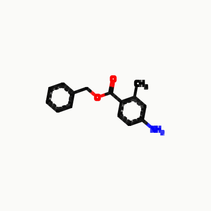 Cc1cc(N)ccc1C(=O)OCc1ccccc1